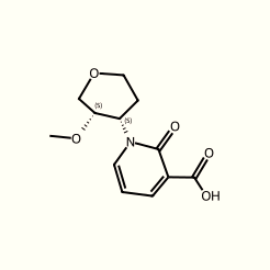 CO[C@@H]1COCC[C@@H]1n1cccc(C(=O)O)c1=O